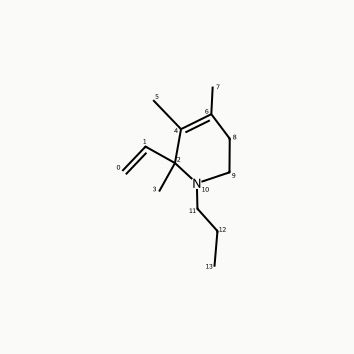 C=CC1(C)C(C)=C(C)CCN1CCC